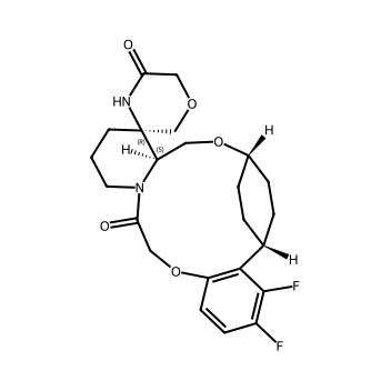 O=C1COC[C@]2(CCCN3C(=O)COc4ccc(F)c(F)c4[C@H]4CC[C@H](CC4)OC[C@@H]32)N1